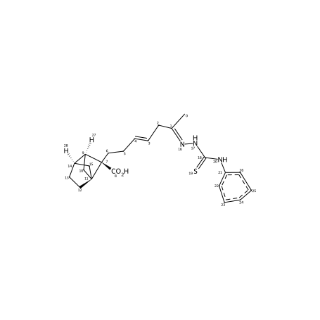 CC(C/C=C/CC[C@@]1(C(=O)O)[C@H]2C[C@@]13CC[C@@H]2C3)=NNC(=S)Nc1ccccc1